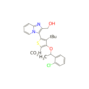 CC(Oc1c(C(=O)O)sc(-c2c(CO)nc3ccccn23)c1C(C)(C)C)c1ccccc1Cl